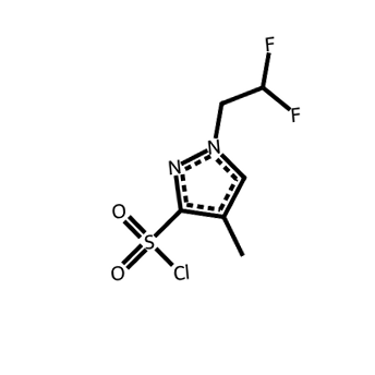 Cc1cn(CC(F)F)nc1S(=O)(=O)Cl